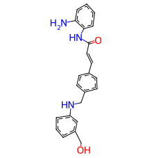 Nc1ccccc1NC(=O)C=Cc1ccc(CNc2cccc(CO)c2)cc1